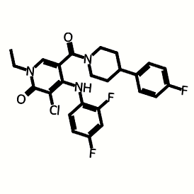 CCn1cc(C(=O)N2CCC(c3ccc(F)cc3)CC2)c(Nc2ccc(F)cc2F)c(Cl)c1=O